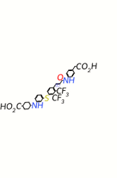 O=C(O)Cc1ccc(NC(=O)/C=C/c2ccc(Sc3cccc(N[C@H]4CC[C@H](C(=O)O)CC4)c3)c(C(F)(F)F)c2C(F)(F)F)cc1